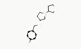 Fc1ccc(CO[C@@H]2CCN(C3CCOC3)C2)cc1